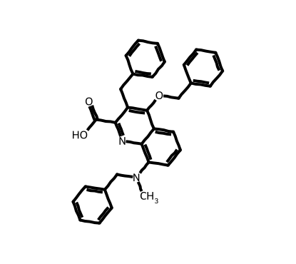 CN(Cc1ccccc1)c1cccc2c(OCc3ccccc3)c(Cc3ccccc3)c(C(=O)O)nc12